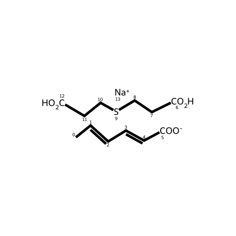 CC=CC=CC(=O)[O-].O=C(O)CCSCCC(=O)O.[Na+]